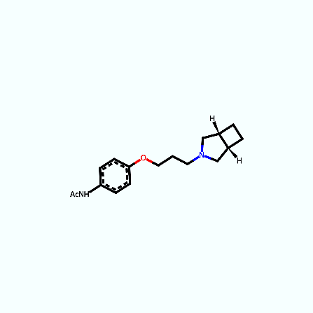 CC(=O)Nc1ccc(OCCCN2C[C@H]3CC[C@H]3C2)cc1